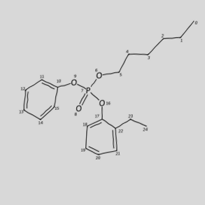 CCCCCCOP(=O)(Oc1ccccc1)Oc1ccccc1CC